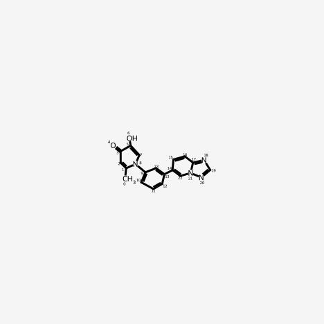 Cc1cc(=O)c(O)cn1-c1cccc(-c2ccc3ncnn3c2)c1